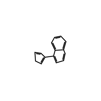 [C]1=C(c2cccc3ccccc23)C=CC1